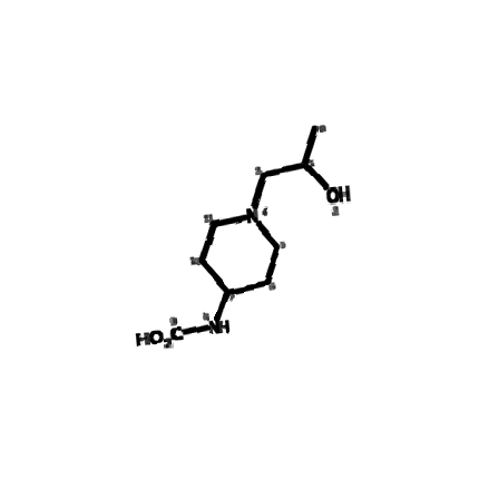 CC(O)CN1CCC(NC(=O)O)CC1